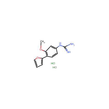 COc1cc(NC(=N)N)ccc1-c1ccco1.Cl.Cl